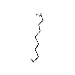 C[CH]CCCCCCBr